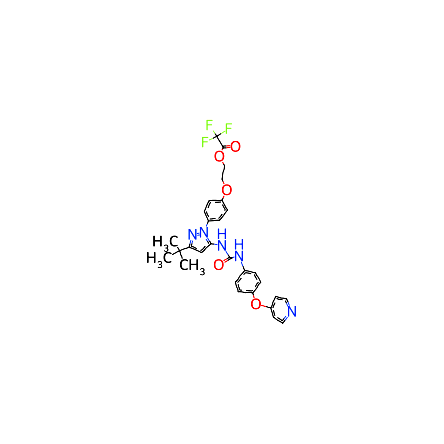 CC(C)(C)c1cc(NC(=O)Nc2ccc(Oc3ccncc3)cc2)n(-c2ccc(OCCOC(=O)C(F)(F)F)cc2)n1